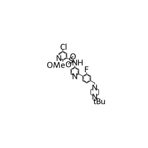 COc1ncc(Cl)cc1S(=O)(=O)Nc1ccnc(-c2ccc(CN3CCN(C(C)(C)C)CC3)cc2F)c1